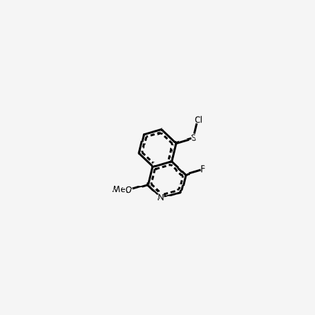 COc1ncc(F)c2c(SCl)cccc12